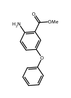 COC(=O)c1cc(Oc2ccccc2)ccc1N